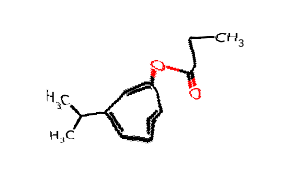 CCC(=O)Oc1cccc(C(C)C)c1